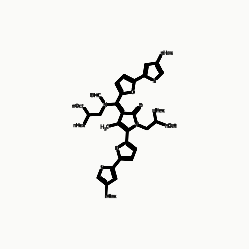 CCCCCCCCC(CCCCCC)CN1C(=O)/C(=C(\c2ccc(-c3cc(CCCCCC)cs3)o2)N(C=O)CC(CCCCCC)CCCCCCCC)C(C)=C1c1ccc(-c2cc(CCCCCC)cs2)o1